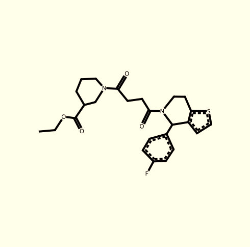 CCOC(=O)C1CCCN(C(=O)CCC(=O)N2CCc3sccc3C2c2ccc(F)cc2)C1